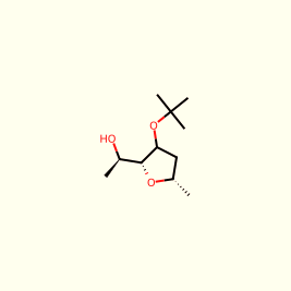 C[C@H]1CC(OC(C)(C)C)[C@@H]([C@@H](C)O)O1